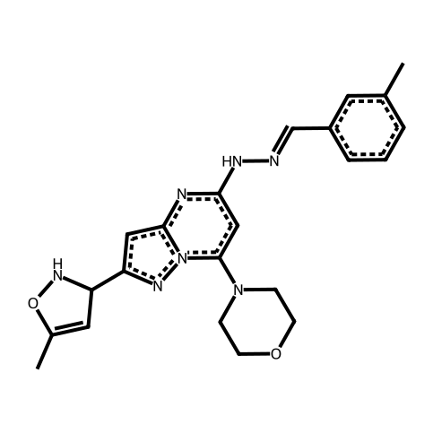 CC1=CC(c2cc3nc(N/N=C/c4cccc(C)c4)cc(N4CCOCC4)n3n2)NO1